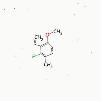 C=Cc1c(OC)ccc(C)c1F